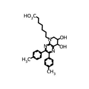 Cc1ccc(-c2nc3c(nc2-c2ccc(C)cc2)N(CCCCCCC(=O)O)CC(O)C3O)cc1